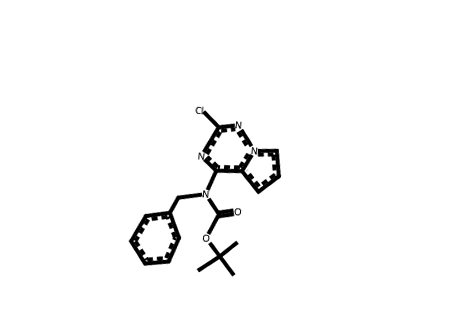 CC(C)(C)OC(=O)N(Cc1ccccc1)c1nc(Cl)nn2cccc12